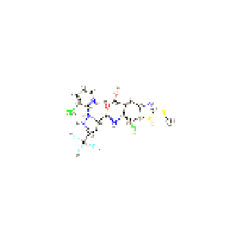 CSC1=NC2C=c3c(nc(C4CC(C(F)(F)F)=NN4c4ncccc4Cl)oc3=O)=C(Cl)C2S1